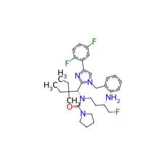 CCC(C)(CC)[C@H](c1nc(-c2cc(F)ccc2F)cn1Cc1ccccc1)N(CC[C@H](N)CF)C(=O)N1CCCC1